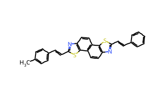 Cc1ccc(/C=C/c2nc3ccc4c(ccc5nc(/C=C/c6ccccc6)sc54)c3s2)cc1